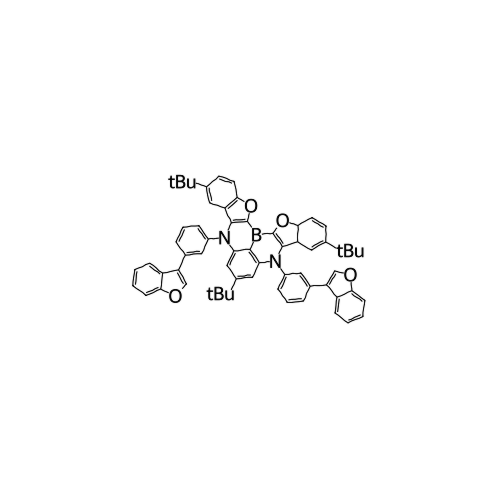 CC(C)(C)C1=CC2C3=C(OC2C=C1)B1c2oc4ccc(C(C)(C)C)cc4c2N(c2cccc(-c4coc5ccccc45)c2)c2cc(C(C)(C)C)cc(c21)N3c1cccc(-c2coc3ccccc23)c1